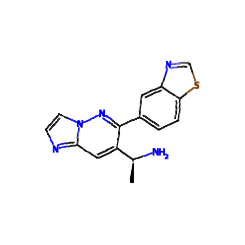 C[C@H](N)c1cc2nccn2nc1-c1ccc2scnc2c1